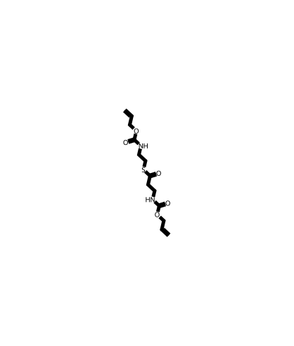 C=CCOC(=O)NCCSC(=O)CCNC(=O)OCC=C